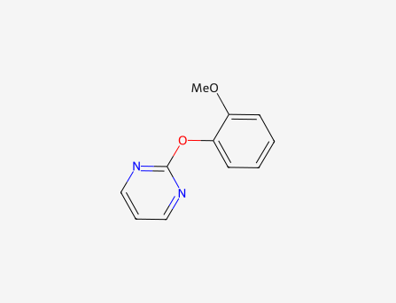 COc1ccccc1Oc1ncccn1